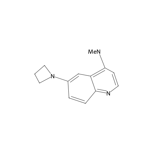 CNc1ccnc2ccc(N3CCC3)cc12